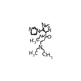 CCN(CC)CCS(=O)(=NC)c1nsnc1-n1ccnc1